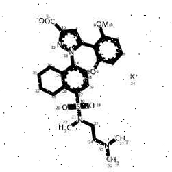 COc1cccc(OC)c1-c1cc(C(=O)[O-])nn1-c1ccc(S(=O)(=O)N(C)CCN(C)C)c2c1CCCC2.[K+]